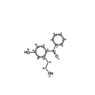 O=C(c1ccccc1)c1ccc(O)cc1CCO